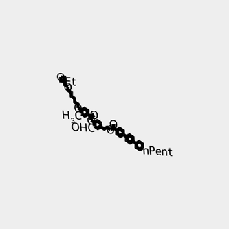 CCCCCC1CCC(c2ccc(-c3ccc(C(=O)OCCc4ccc(OC(=O)c5ccc(OCCCCCCOCC6(CC)COC6)c(C)c5)c(C=O)c4)cc3)cc2)CC1